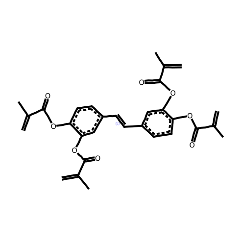 C=C(C)C(=O)Oc1ccc(/C=C/c2ccc(OC(=O)C(=C)C)c(OC(=O)C(=C)C)c2)cc1OC(=O)C(=C)C